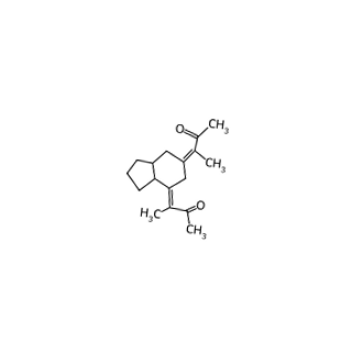 CC(=O)/C(C)=C1/C/C(=C(/C)C(C)=O)C2CCCC2C1